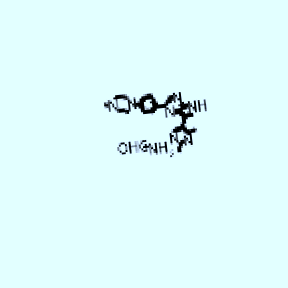 Cc1ncc(-c2c[nH]c3ncc(-c4ccc(N5CCN(C)CC5)cc4)nc23)c(C)n1.NC=O